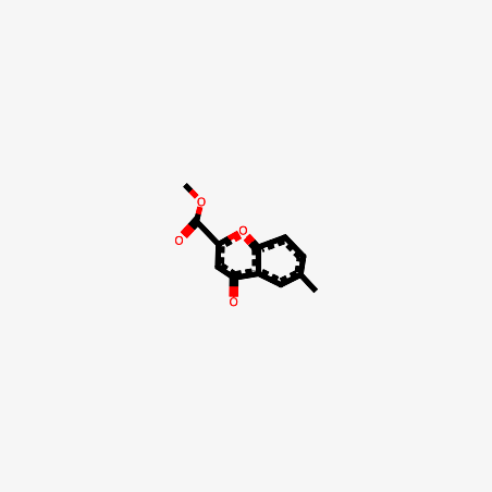 COC(=O)c1cc(=O)c2cc(C)ccc2o1